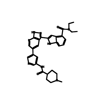 CCN(CC)C(=O)c1cccc2[nH]c(-c3n[nH]c4ncc(-c5cncc(NC(=O)C6CCN(C)CC6)c5)cc34)cc12